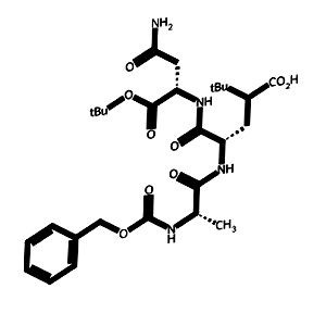 C[C@H](NC(=O)OCc1ccccc1)C(=O)N[C@@H](CC(C(=O)O)C(C)(C)C)C(=O)N[C@@H](CC(N)=O)C(=O)OC(C)(C)C